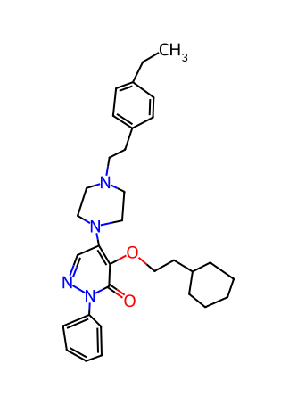 CCc1ccc(CCN2CCN(c3cnn(-c4ccccc4)c(=O)c3OCCC3CCCCC3)CC2)cc1